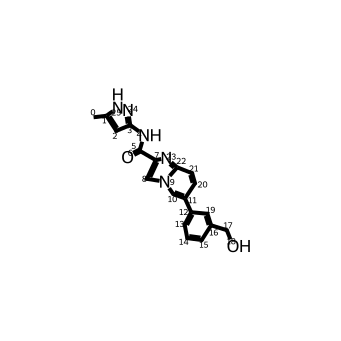 Cc1cc(NC(=O)c2cn3cc(-c4cccc(CO)c4)ccc3n2)n[nH]1